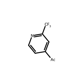 CC(=O)c1ccnc(C(F)(F)F)c1